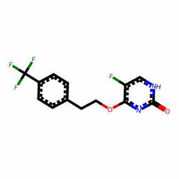 O=c1nc(OCCc2ccc(C(F)(F)F)cc2)c(F)c[nH]1